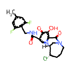 Cc1cc(F)c(CNC(=O)c2cn3c(c(O)c2=O)C(=O)N2CCC[C@H](Cl)[C@H]3C2)c(F)c1